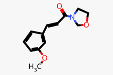 COc1cccc(/C=C/C(=O)N2CCOC2)c1